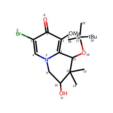 COc1c2n(cc(Br)c1=O)CC(O)C(C)(C)C2O[Si](C)(C)C(C)(C)C